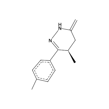 C=C1C[C@@H](C)C(c2ccc(C)cc2)=NN1